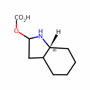 O=C(O)OC1CC2CCCC[C@H]2N1